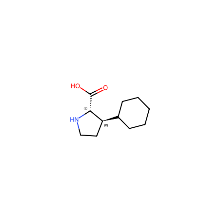 O=C(O)[C@H]1NCC[C@@H]1C1CCCCC1